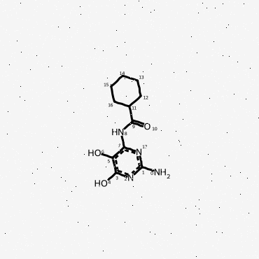 Nc1nc(O)c(O)c(NC(=O)C2CCCCC2)n1